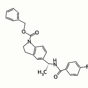 C[C@@H](NC(=O)c1ccc(F)cc1)c1ccc2c(c1)CCN2C(=O)OCc1ccccc1